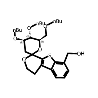 CCCCOC[C@H]1OC2(C[C@@H](OCCCC)[C@@H]1OCCCC)OCCc1c2sc2c(CO)cccc12